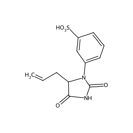 C=CCC1C(=O)NC(=O)N1c1cccc(S(=O)(=O)O)c1